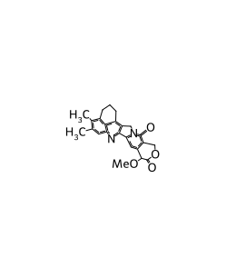 COC1C(=O)OCc2c1cc1n(c2=O)Cc2c-1nc1cc(C)c(C)c3c1c2CCC3